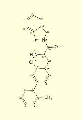 Cc1ccccc1-c1ccc(CC(N)C(=O)N2Cc3ccccc3C2)c(Cl)c1